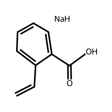 C=Cc1ccccc1C(=O)O.[NaH]